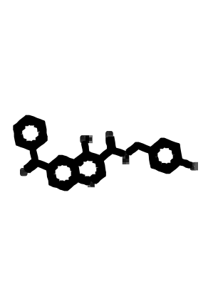 O=C(c1ccccc1)c1ccc2ncc(C(=O)NCc3ccc(Cl)cc3)c(O)c2c1